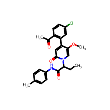 CCC(C(=O)Nc1ccc(C)cc1)n1cc(OC)c(-c2cc(Cl)ccc2C(C)=O)cc1=O